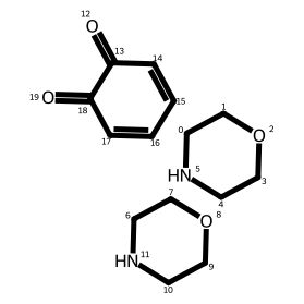 C1COCCN1.C1COCCN1.O=C1C=CC=CC1=O